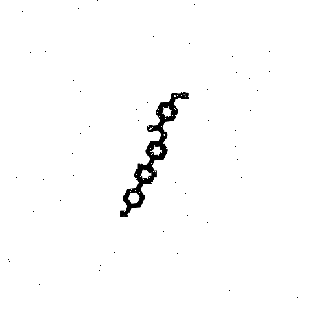 CCOc1ccc(C(=O)Oc2ccc(-c3ncc(C4CCC(CC)CC4)cn3)cc2)cc1